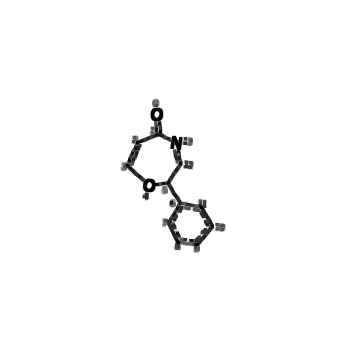 O=C1C=COC(c2ccccc2)C=N1